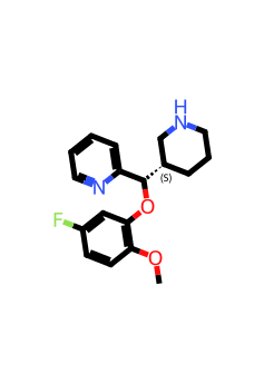 COc1ccc(F)cc1OC(c1ccccn1)[C@H]1CCCNC1